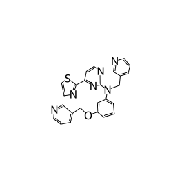 c1cncc(COc2cccc(N(Cc3cccnc3)c3nccc(-c4nccs4)n3)c2)c1